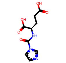 O=C(O)CC[C@@H](NC(=O)n1ccnc1)C(=O)O